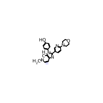 C=N/C=C\c1nc(-c2ccc(N3CCOCC3)nc2)n(-c2ccc(O)cc2)c1C